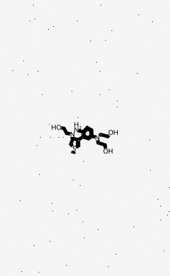 C=S1C=C(c2cc(N(CCO)CCO)ccc2N)C(=NCCO)C1